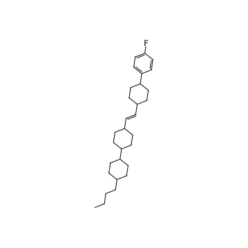 CCCCC1CCC(C2CCC(/C=C/C3CCC(c4ccc(F)cc4)CC3)CC2)CC1